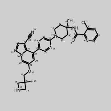 CC1(NC(=O)c2ncccc2Cl)CCN(c2cnc(-c3cc(OCC4(F)CNC4)cn4ncc(C#N)c34)cn2)CC1